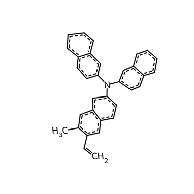 C=Cc1cc2ccc(N(c3ccc4ccccc4c3)c3ccc4ccccc4c3)cc2cc1C